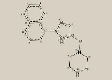 c1ccc2c(-c3ncc(CN4CCNCC4)[nH]3)cccc2c1